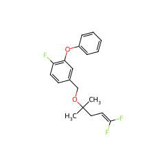 CC(C)(CC=C(F)F)OCc1ccc(F)c(Oc2ccccc2)c1